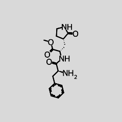 COC(=O)[C@H](C[C@@H]1CCNC1=O)NC(=O)[C@@H](N)Cc1ccccc1